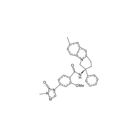 COc1cc(-n2cnn(C)c2=O)ccc1C(=O)N[C@]1(c2ccccc2)CCc2cc3cc(C)ccc3n2C1